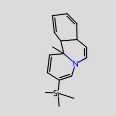 CC12C=CC([Si](C)(C)C)=CN1C=CC1C=CC=CC12